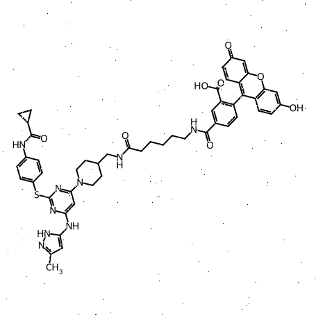 Cc1cc(Nc2cc(N3CCC(CNC(=O)CCCCCNC(=O)c4ccc(-c5c6ccc(=O)cc-6oc6cc(O)ccc56)c(C(=O)O)c4)CC3)nc(Sc3ccc(NC(=O)C4CC4)cc3)n2)[nH]n1